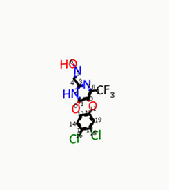 O=c1[nH]c(C=NO)nc(C(F)(F)F)c1Oc1ccc(Cl)c(Cl)c1